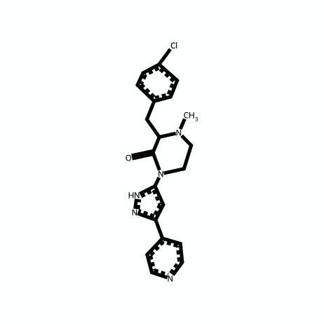 CN1CCN(c2cc(-c3ccncc3)n[nH]2)C(=O)C1Cc1ccc(Cl)cc1